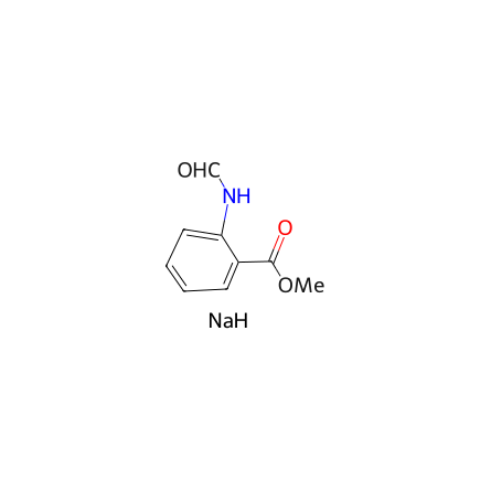 COC(=O)c1ccccc1NC=O.[NaH]